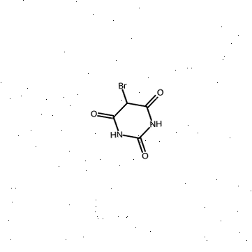 O=C1NC(=O)C(Br)C(=O)N1